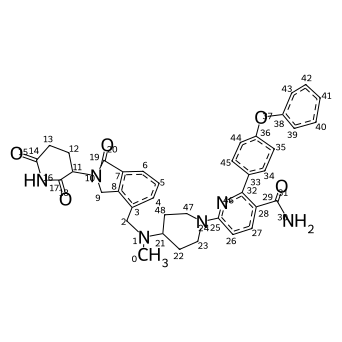 CN(Cc1cccc2c1CN(C1CCC(=O)NC1=O)C2=O)C1CCN(c2ccc(C(N)=O)c(-c3ccc(Oc4ccccc4)cc3)n2)CC1